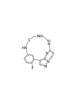 Fc1ccc2cc1-c1cnn3ccc(nc13)NCCNCCCN2